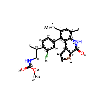 COc1cc(C)c2[nH]c(=O)c3sccc3c2c1-c1ccc(C(C)CNC(=O)OC(C)(C)C)c(F)c1